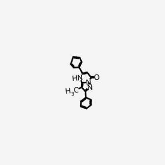 Cc1c(-c2ccccc2)nn2c(=O)cc(-c3ccccc3)[nH]c12